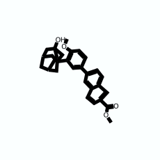 COC(=O)c1ccc2cc(-c3ccc(OC)c(C45CC6CC(CC(O)(C6)C4)C5)c3)ccc2c1